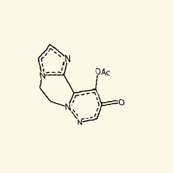 CC(=O)Oc1c2n(ncc1=O)CCn1ccnc1-2